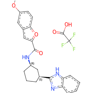 COc1ccc2oc(C(=O)N[C@@H]3CCC[C@H](c4nc5ccccc5[nH]4)C3)cc2c1.O=C(O)C(F)(F)F